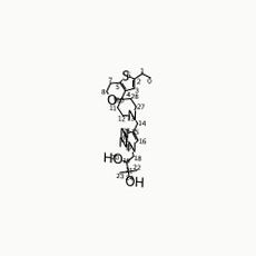 CCc1cc2c(s1)CCOC21CCN(Cc2cn(CC(O)C(C)(C)O)nn2)CC1